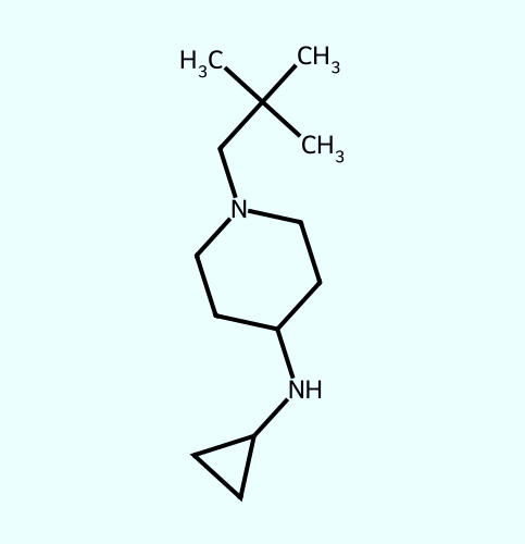 CC(C)(C)CN1CCC(NC2CC2)CC1